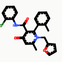 Cc1ccccc1-c1c(C(=O)Nc2ccccc2Cl)c(=O)cc(C)n1Cc1ccco1